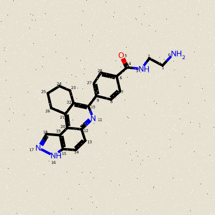 NCCNC(=O)c1ccc(-c2nc3ccc4[nH]ncc4c3c3c2CCCC3)cc1